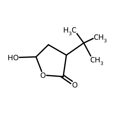 CC(C)(C)C1CC(O)OC1=O